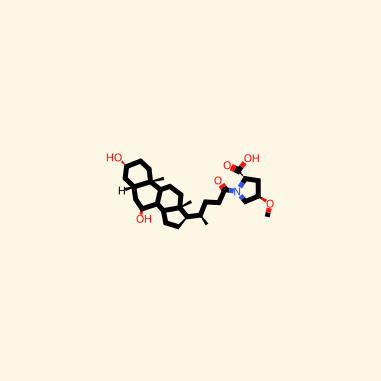 CO[C@@H]1C[C@@H](C(=O)O)N(C(=O)CC[C@@H](C)[C@H]2CCC3C4C(CC[C@@]32C)[C@@]2(C)CC[C@@H](O)C[C@H]2C[C@@H]4O)C1